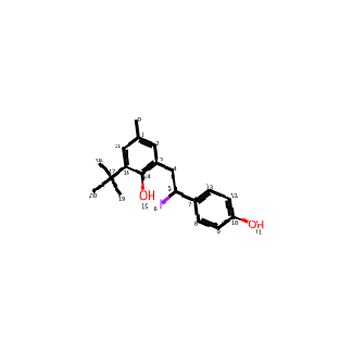 Cc1cc(CC(I)c2ccc(O)cc2)c(O)c(C(C)(C)C)c1